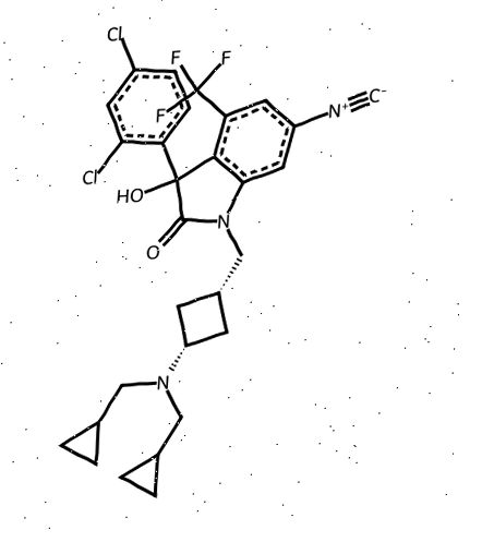 [C-]#[N+]c1cc2c(c(C(F)(F)F)c1)C(O)(c1ccc(Cl)cc1Cl)C(=O)N2C[C@H]1C[C@@H](N(CC2CC2)CC2CC2)C1